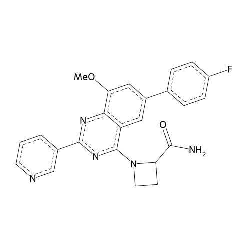 COc1cc(-c2ccc(F)cc2)cc2c(N3CCC3C(N)=O)nc(-c3cccnc3)nc12